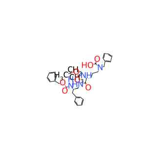 CC(C)(C)OC(=O)N[C@H](CCCN(Cc1ccccc1)C(=O)O)C(=O)NC[C@@H](Cc1ccccc1)NC(=O)OCc1ccccc1